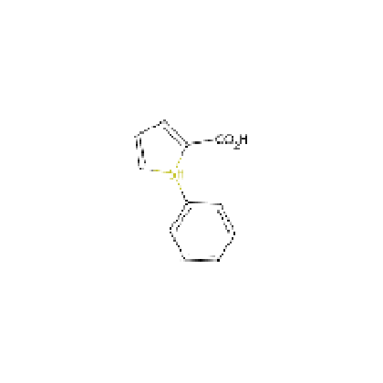 O=C(O)C1=CC=C[SH]1c1c[c]ccc1